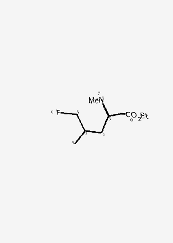 CCOC(=O)C(CC(C)CF)NC